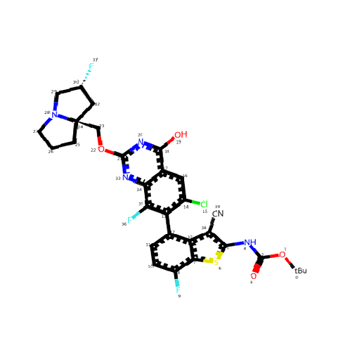 CC(C)(C)OC(=O)Nc1sc2c(F)ccc(-c3c(Cl)cc4c(O)nc(OC[C@@]56CCCN5C[C@H](F)C6)nc4c3F)c2c1C#N